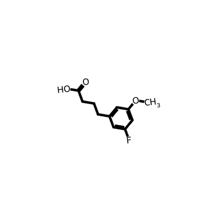 COc1cc(F)cc(CCCC(=O)O)c1